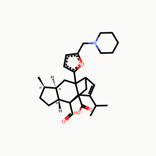 CC(C)C1=CC2CC3(C=O)[C@@H]4CC[C@@H](C)[C@H]4CC2(c2ccc(CN4CCCCC4)o2)C13C(=O)O